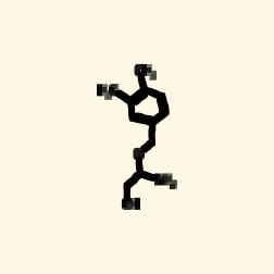 Cc1ccc(COC(N)CO)cc1C